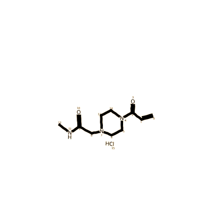 C=CC(=O)N1CCN(CC(=O)NC)CC1.Cl